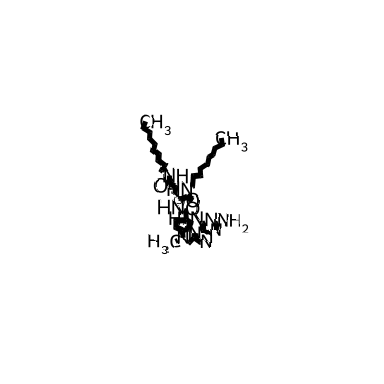 CCCCCCCCCCNC(=O)CC[C@H](NC(=O)c1ccc(N(C)Cc2cnc3nc(N)nc(N)c3n2)cc1)C(=O)NCCCCCCCCCC